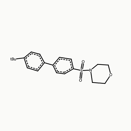 CC(C)(C)c1ccc(-c2ccc(S(=O)(=O)N3CCOCC3)cc2)cc1